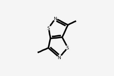 Cc1nsc2c(C)nsc12